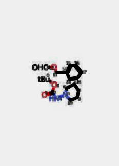 CC(C)(C)OC(=O)NN1CCCCC1.O=COCc1ccccc1